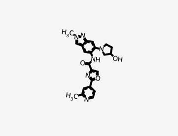 Cc1cc(-c2nc(C(=O)Nc3cc4cn(C)nc4cc3N3CCC(O)C3)co2)ccn1